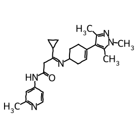 Cc1cc(NC(=O)CC(=NC2CC=C(c3c(C)nn(C)c3C)CC2)C2CC2)ccn1